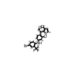 ON=C(c1ccc(Nc2ccc(Br)cc2C(F)(F)F)cc1Cl)c1sccc1Cl